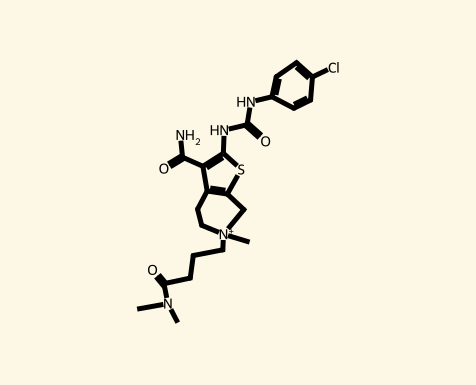 CN(C)C(=O)CCC[N+]1(C)CCc2c(sc(NC(=O)Nc3ccc(Cl)cc3)c2C(N)=O)C1